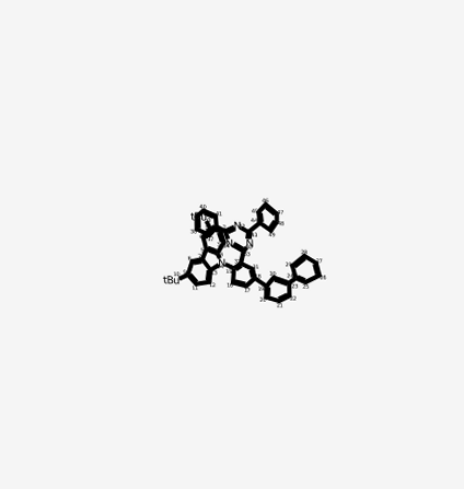 CC(C)(C)c1ccc2c(c1)c1cc(C(C)(C)C)ccc1n2-c1ccc(-c2cccc(-c3ccccc3)c2)cc1-c1nc(-c2ccccc2)nc(-c2ccccc2)n1